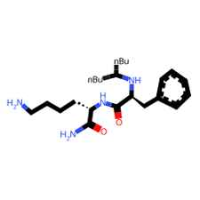 CCCCC(CCCC)N[C@@H](Cc1ccccc1)C(=O)N[C@@H](CCCCN)C(N)=O